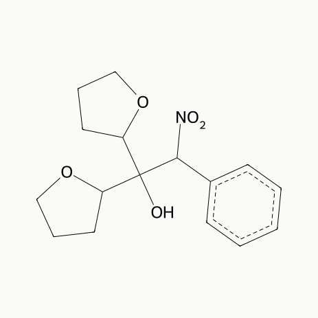 O=[N+]([O-])C(c1ccccc1)C(O)(C1CCCO1)C1CCCO1